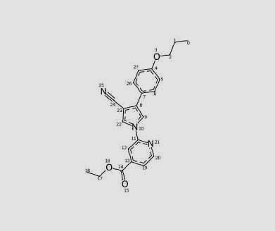 CCCOc1ccc(-c2cn(-c3cc(C(=O)OCC)ccn3)cc2C#N)cc1